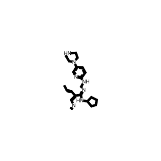 C=N/C=C(/C=C/C)C(=N/CNc1ccc(N2CCNCC2)cn1)\NC1CCCC1